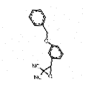 N#CC1(C#N)OC1c1cccc(OCc2ccccc2)c1